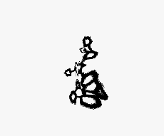 c1ccc(-c2nc(-c3ccc4c(c3)C3(c5ccccc5-c5ccccc5-c5ccccc53)c3ccccc3-4)cc(-c3ccc4c(c3)oc3ccccc34)n2)cc1